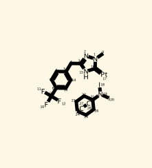 Cn1nc(Cc2ccc(C(F)(F)F)cc2)[nH][c]1=[Pt].IN(I)C12CCC(CC1)CC2